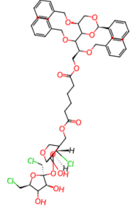 O=C(CCCCC(=O)OCC12COC(C(O)[C@H]1Cl)[C@@H](O[C@]1(CCl)O[C@H](CCl)C(O)[C@@H]1O)O2)OC[C@H](OCc1ccccc1)C(OCc1ccccc1)C1O[C@H](c2ccccc2)OC[C@@H]1OCc1ccccc1